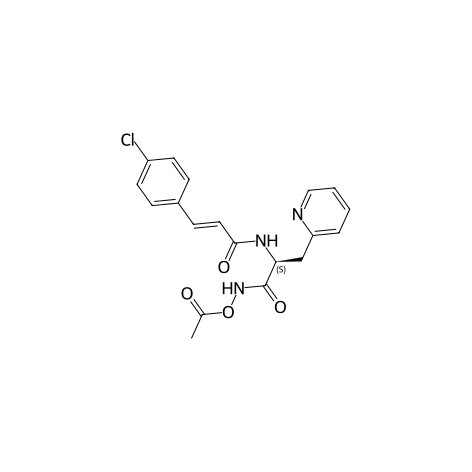 CC(=O)ONC(=O)[C@H](Cc1ccccn1)NC(=O)C=Cc1ccc(Cl)cc1